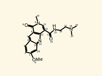 COc1ccc2cc3c(=O)n(C)cc(C(=O)NCCN(C)C)c3nc2c1